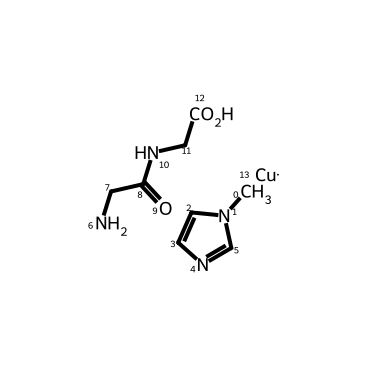 Cn1ccnc1.NCC(=O)NCC(=O)O.[Cu]